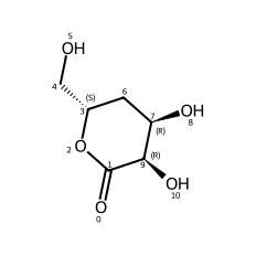 O=C1O[C@H](CO)C[C@@H](O)[C@H]1O